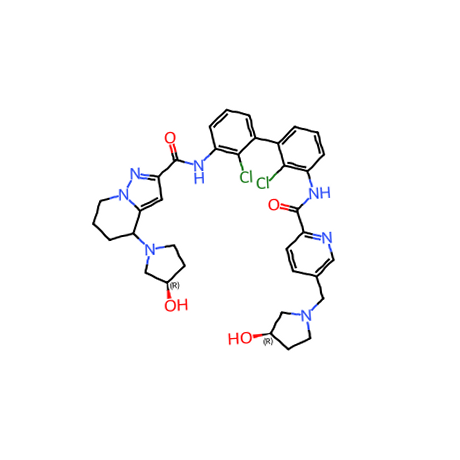 O=C(Nc1cccc(-c2cccc(NC(=O)c3cc4n(n3)CCCC4N3CC[C@@H](O)C3)c2Cl)c1Cl)c1ccc(CN2CC[C@@H](O)C2)cn1